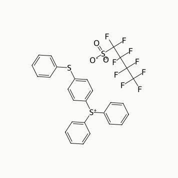 O=S(=O)([O-])C(F)(F)C(F)(F)C(F)(F)C(F)(F)F.c1ccc(Sc2ccc([S+](c3ccccc3)c3ccccc3)cc2)cc1